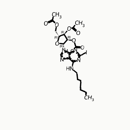 CCCCCCNc1nc(I)nc2c1ncn2[C@@H]1O[C@H](COC(C)=O)[C@@H](OC(C)=O)[C@H]1OC(C)=O